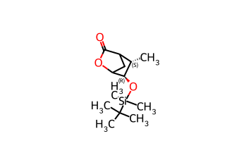 C[C@H]1C2CC(OC2=O)[C@@H]1O[Si](C)(C)C(C)(C)C